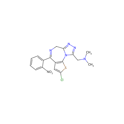 CN(C)Cc1nnc2n1-c1sc(Cl)cc1C(c1ccccc1[N+](=O)[O-])=NC2